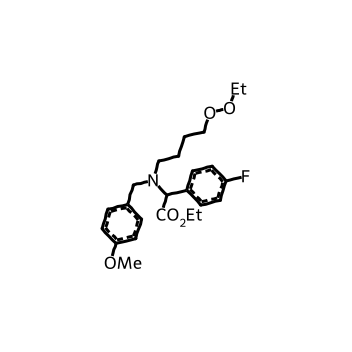 CCOOCCCCN(Cc1ccc(OC)cc1)C(C(=O)OCC)c1ccc(F)cc1